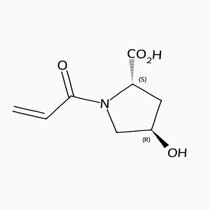 C=CC(=O)N1C[C@H](O)C[C@H]1C(=O)O